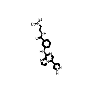 CCN(CC)CCNC(=O)c1cccc(Nc2ncc(-c3cn[nH]c3)n3ccnc23)c1